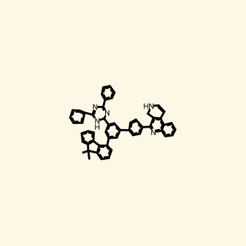 CC1(C)c2ccccc2-c2c(-c3cc(-c4ccc(-c5nc6ccccc6c6c5CNC=C6)cc4)cc(C4N=C(c5ccccc5)N=C(c5ccccc5)N4)c3)cccc21